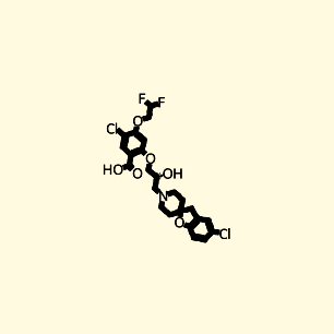 O=C(O)c1cc(Cl)c(OCC(F)F)cc1OC[C@H](O)CN1CCC2(CC1)Cc1cc(Cl)ccc1O2